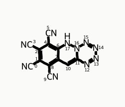 N#Cc1c(C#N)c(C#N)c2c(c1C#N)C=C1N=NN=NN1N2